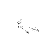 Cc1nnc2n1-c1sc(C#Cc3cnn(CCOCCOc4cccc5c4CN(C4CCC(=O)NC4=O)C5=O)c3)c(Cc3ccccc3)c1COC2